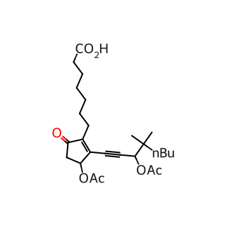 CCCCC(C)(C)C(C#CC1=C(CCCCCCC(=O)O)C(=O)CC1OC(C)=O)OC(C)=O